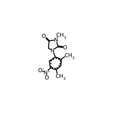 Cc1cc(C)c([N+](=O)[O-])cc1N1CC(=O)N(C)C1=O